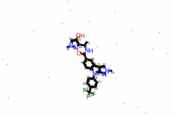 CC(NC(=O)c1ccc2c(c1)c1cn(C)nc1n2-c1ccc(C(F)(F)F)cc1)c1nn(C)cc1O